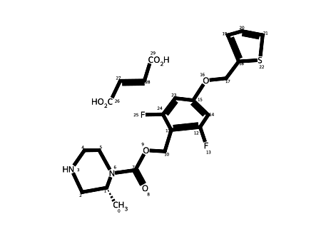 C[C@@H]1CNCCN1C(=O)OCc1c(F)cc(OCc2cccs2)cc1F.O=C(O)/C=C/C(=O)O